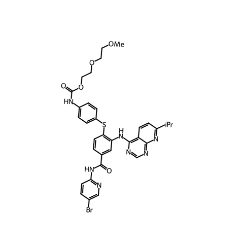 COCCOCCOC(=O)Nc1ccc(Sc2ccc(C(=O)Nc3ccc(Br)cn3)cc2Nc2ncnc3nc(C(C)C)ccc23)cc1